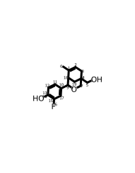 CC1=CCC2(CO)COC(c3ccc(O)c(F)c3)C1C2